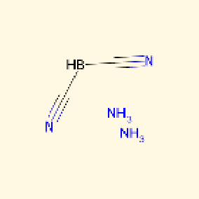 N.N.N#CBC#N